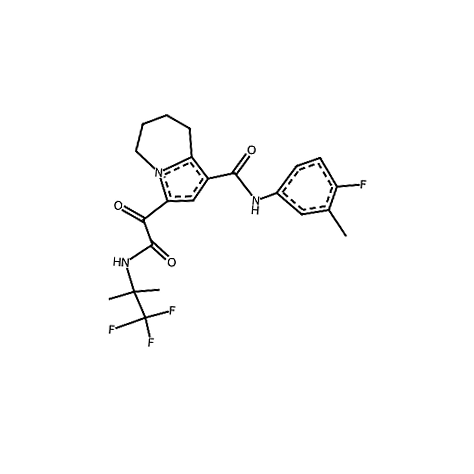 Cc1cc(NC(=O)c2cc(C(=O)C(=O)NC(C)(C)C(F)(F)F)n3c2CCCC3)ccc1F